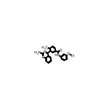 CCOc1cccc(NC(=O)c2ccc(C)c(-c3nc(N)nc4ccccc34)c2)c1